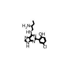 CC[C@@H](N)CNc1nc(-c2cc(Cl)ccc2O)nc2[nH]cnc12